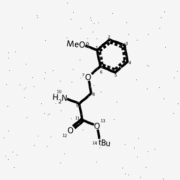 COc1c[c]ccc1OCC(N)C(=O)OC(C)(C)C